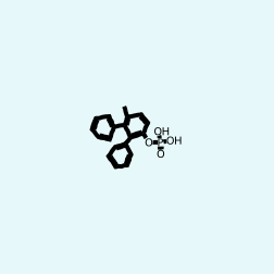 Cc1ccc(OP(=O)(O)O)c(-c2ccccc2)c1-c1ccccc1